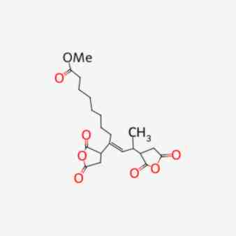 COC(=O)CCCCCCC/C(=C\C(C)C1CC(=O)OC1=O)C1CC(=O)OC1=O